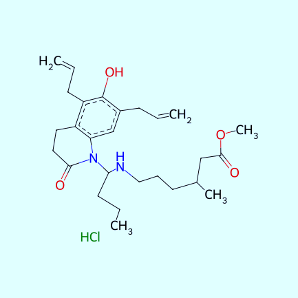 C=CCc1cc2c(c(CC=C)c1O)CCC(=O)N2C(CCC)NCCCC(C)CC(=O)OC.Cl